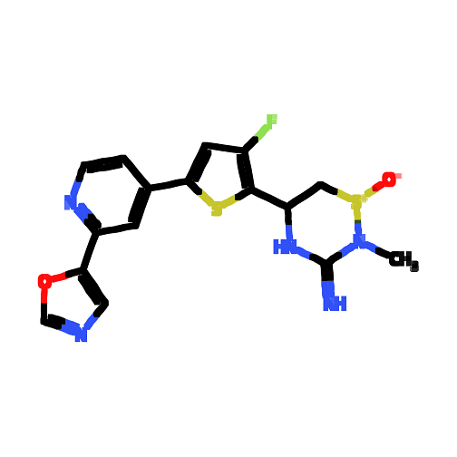 CN1C(=N)NC(c2sc(-c3ccnc(-c4cnco4)c3)cc2F)C[S+]1[O-]